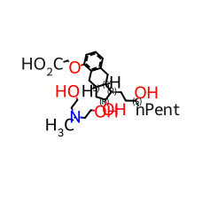 CCCCC[C@H](O)CC[C@@H]1[C@H]2Cc3cccc(OCC(=O)O)c3C[C@H]2C[C@H]1O.CN(CCO)CCO